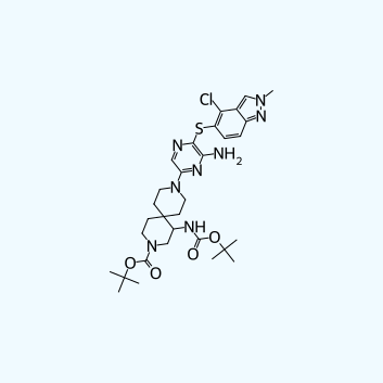 Cn1cc2c(Cl)c(Sc3ncc(N4CCC5(CCN(C(=O)OC(C)(C)C)CC5NC(=O)OC(C)(C)C)CC4)nc3N)ccc2n1